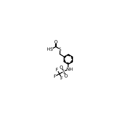 O=C(S)SCc1cccc(NS(=O)(=O)C(F)(F)F)c1